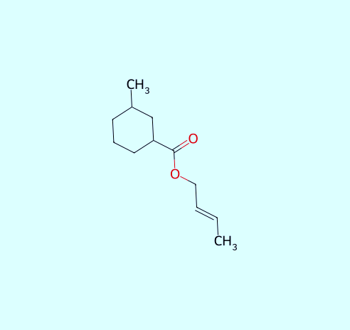 CC=CCOC(=O)C1CCCC(C)C1